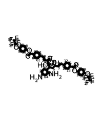 Nc1ccc(C(CC(=O)/C=C/c2ccc(C(=O)Oc3ccc(OC(F)(F)C(F)F)cc3)cc2)C(O)(O)C(=O)/C=C/c2ccc(C(=O)Oc3ccc(OC(F)(F)C(F)F)cc3)cc2)c(N)c1